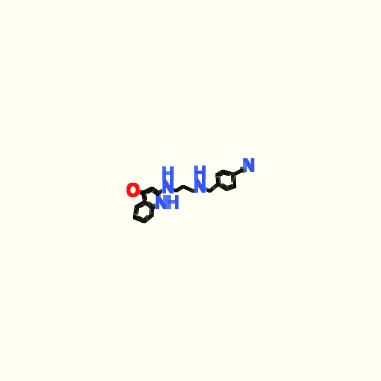 N#Cc1ccc(CNCCCNc2cc(=O)c3ccccc3[nH]2)cc1